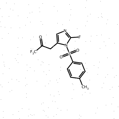 Cc1ccc(S(=O)(=O)n2c(CC(=O)C(F)(F)F)cnc2F)cc1